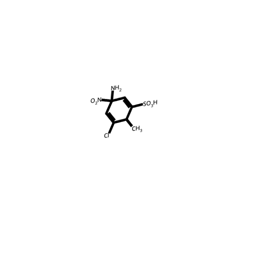 CC1C(Cl)=CC(N)([N+](=O)[O-])C=C1S(=O)(=O)O